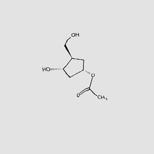 CC(=O)O[C@H]1C[C@H](CO)[C@@H](O)C1